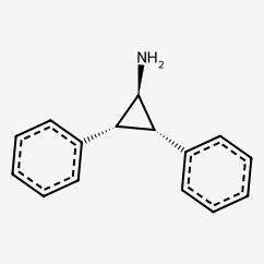 N[C@@H]1[C@@H](c2ccccc2)[C@H]1c1ccccc1